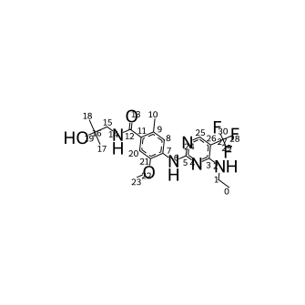 CCNc1nc(Nc2cc(C)c(C(=O)NCC(C)(C)O)cc2OC)ncc1C(F)(F)F